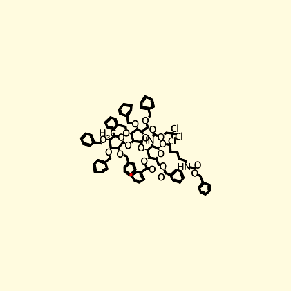 CC1O[C@@H](OC2[C@H](O[C@@H]3C(NC(=O)OCC(Cl)(Cl)Cl)[C@@H](OCCCCCNC(=O)OCc4ccccc4)OC(COC(=O)c4ccccc4)[C@@H]3OC(=O)c3ccccc3)OC(COCc3ccccc3)[C@H](OCc3ccccc3)[C@H]2OCc2ccccc2)C(OCc2ccccc2)[C@@H](OCc2ccccc2)[C@H]1OCc1ccccc1